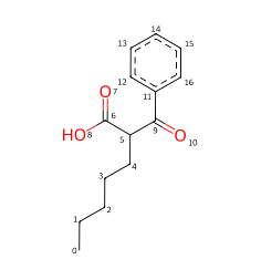 CCCCCC(C(=O)O)C(=O)c1ccccc1